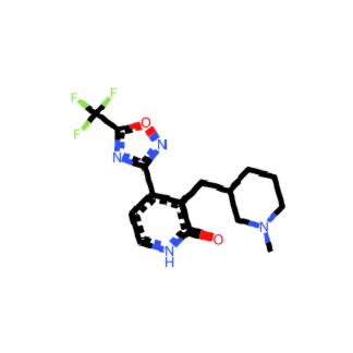 CN1CCCC(Cc2c(-c3noc(C(F)(F)F)n3)cc[nH]c2=O)C1